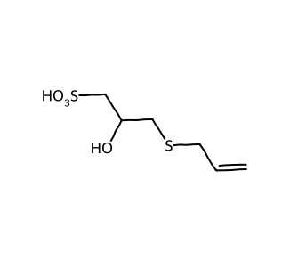 C=CCSCC(O)CS(=O)(=O)O